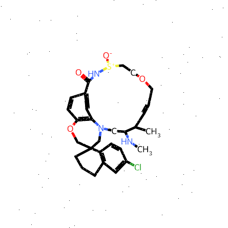 CNC1CN2CC3(CCCc4cc(Cl)ccc43)COc3ccc(cc32)C(=O)N[S+]([O-])CCOC/C=C/C1C